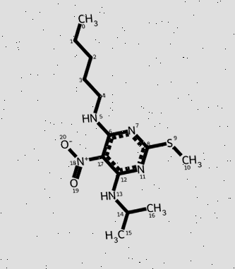 CCCCCNc1nc(SC)nc(NC(C)C)c1[N+](=O)[O-]